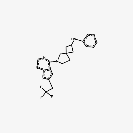 FC(F)(F)Cc1cc2c(N3CCC4(CC(Nc5cccnc5)C4)C3)ncnc2s1